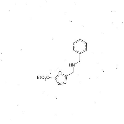 CCOC(=O)c1ccc(CNCc2ccccc2)o1